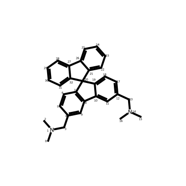 CN(C)Cc1ccc2c(c1)-c1cc(CN(C)C)ccc1C21c2ccccc2-c2ccccc21